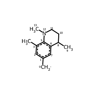 [CH2]c1cc(C)c2c(c1)C(C)CCN2C